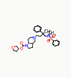 CN(CC(C)(CCN1CCC2C(CCN2C(=O)O[C@@H]2CCOC2)C1)c1ccccc1)S(=O)(=O)c1ccccc1